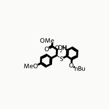 CCCCOc1cccc([N+](=O)[O-])c1S[C@H](c1ccc(OC)cc1)[C@@H](O)C(=O)OC